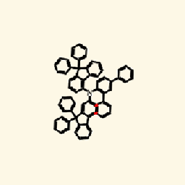 c1ccc(-c2ccc(N(c3ccc4c(c3)C(c3ccccc3)(c3ccccc3)c3ccccc3-4)c3cccc4c3-c3ccccc3C4(c3ccccc3)c3ccccc3)c(-c3ccccc3)c2)cc1